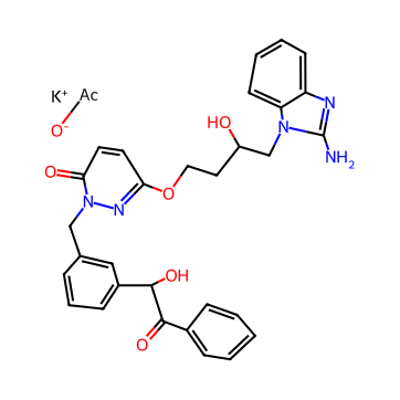 CC(=O)[O-].Nc1nc2ccccc2n1CC(O)CCOc1ccc(=O)n(Cc2cccc(C(O)C(=O)c3ccccc3)c2)n1.[K+]